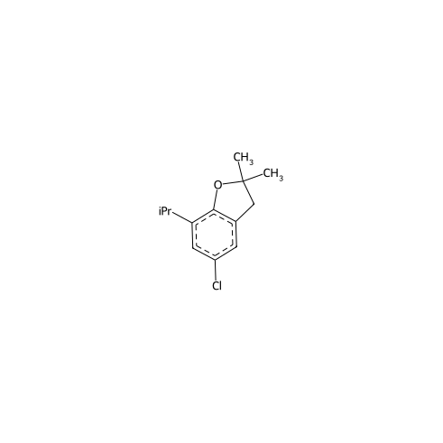 CC(C)c1cc(Cl)cc2c1OC(C)(C)C2